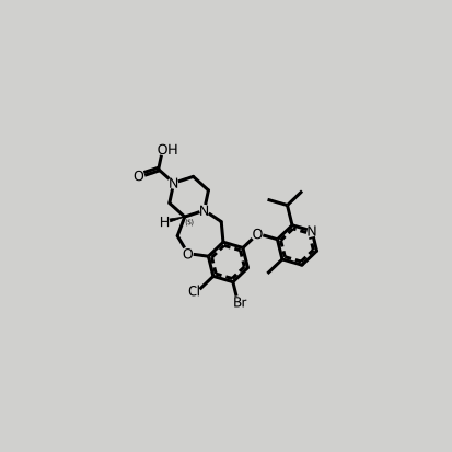 Cc1ccnc(C(C)C)c1Oc1cc(Br)c(Cl)c2c1CN1CCN(C(=O)O)C[C@H]1CO2